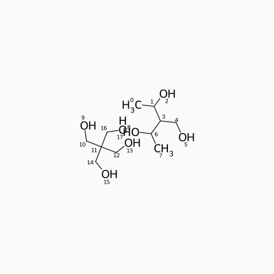 CC(O)C(CO)C(C)O.OCC(CO)(CO)CO